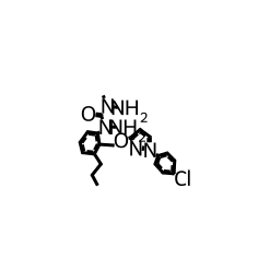 CCCc1cccc(N(N)C(=O)N(C)N)c1COc1ccn(-c2ccc(Cl)cc2)n1